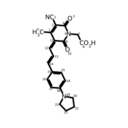 CC1=C(C#N)C(=O)N(CC(=O)O)C(=O)/C1=C\C=C\c1ccc(N2CCCC2)cc1